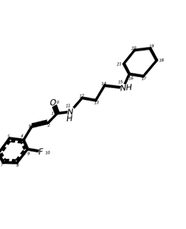 O=C(C=Cc1ccccc1F)NCCCNC1CCCCC1